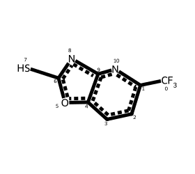 FC(F)(F)c1ccc2oc(S)nc2n1